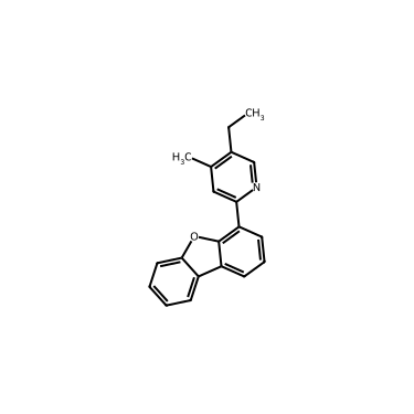 CCc1cnc(-c2cccc3c2oc2ccccc23)cc1C